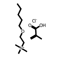 C=C(C)C(=O)O.CCCCCOCC[N+](C)(C)C.[Cl-]